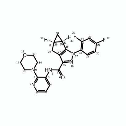 O=C(Nc1cccnc1N1CCOCC1)c1nn(-c2ccc(F)cc2F)c2c1C[C@H]1C[C@@H]21